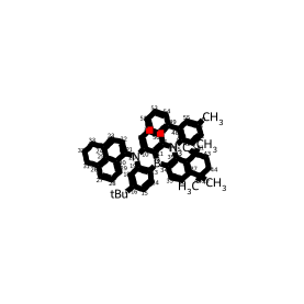 Cc1ccc(N2c3cccc4c3B(c3ccc(C(C)(C)C)cc3N4c3ccc4c5c(cccc35)CCC4)c3ccc4c(c32)C(C)(C)CCC4(C)C)c(-c2ccccc2)c1